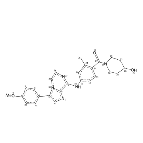 COc1ccc(-c2cnc3c(Nc4ccc(C(=O)N5CCC(O)CC5)c(C)c4)nccn23)cc1